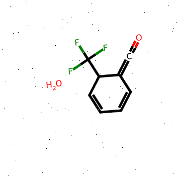 O.O=C=C1C=CC=CC1C(F)(F)F